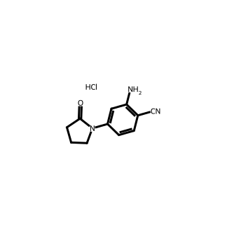 Cl.N#Cc1ccc(N2CCCC2=O)cc1N